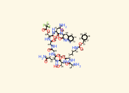 C[C@H](N)C(=O)N[C@@H](CCCCNC(=O)OCc1ccccc1)C(=O)N[C@@H](CO)C(=O)N[C@@H](CCC(N)=O)C(=O)NCC(=O)NCC(=O)N[C@@H](COC(=O)C(F)(F)F)C(=O)N[C@@H](CC(N)=O)C(=O)N[C@@H](Cc1ccccc1)C(N)=O